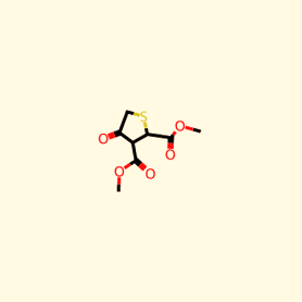 COC(=O)C1SCC(=O)C1C(=O)OC